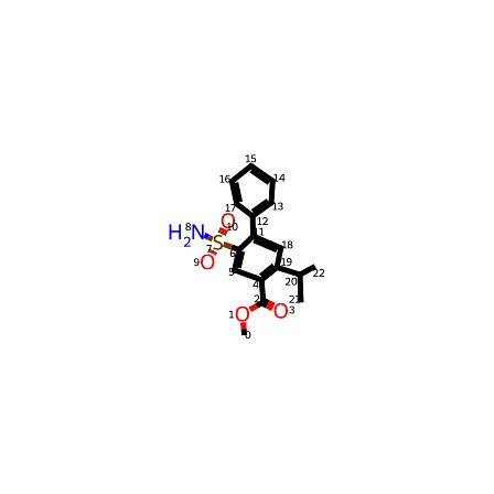 COC(=O)c1cc(S(N)(=O)=O)c(-c2ccccc2)cc1C(C)C